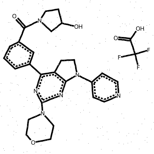 O=C(O)C(F)(F)F.O=C(c1cccc(-c2nc(N3CCOCC3)nc3c2CCN3c2ccncc2)c1)N1CCC(O)C1